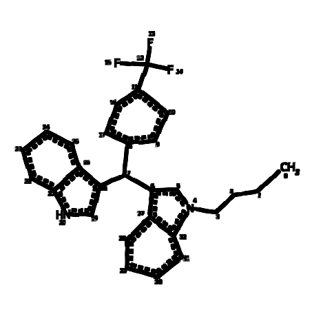 CCCCn1cc(C(c2ccc(C(F)(F)F)cc2)c2c[nH]c3ccccc23)c2ccccc21